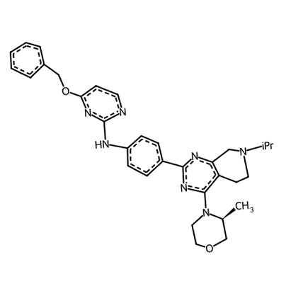 CC(C)N1CCc2c(nc(-c3ccc(Nc4nccc(OCc5ccccc5)n4)cc3)nc2N2CCOC[C@@H]2C)C1